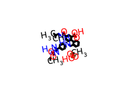 CCOC(=O)N=C(N)c1ccc(NCc2ccccc2-c2ccc(C(=O)NCC(C)C)cc2C(=O)O)cc1.CS(=O)(=O)O